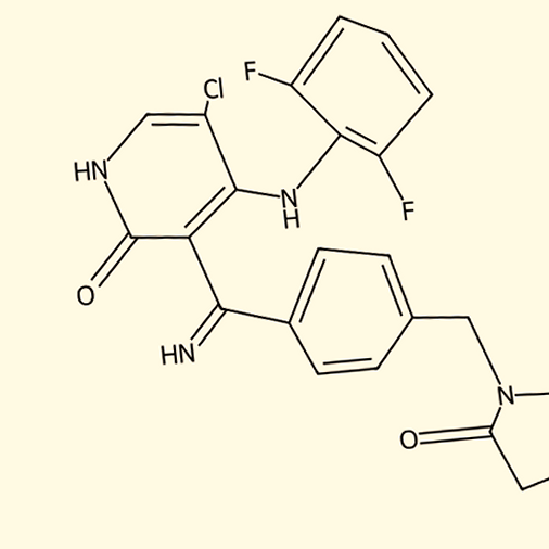 N=C(c1ccc(CN2C(=O)CCC2=O)cc1)c1c(Nc2c(F)cccc2F)c(Cl)c[nH]c1=O